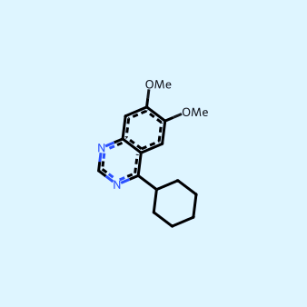 COc1cc2ncnc(C3CCCCC3)c2cc1OC